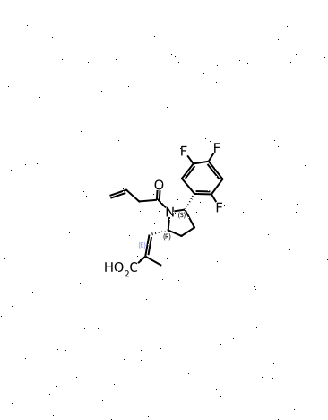 C=CCC(=O)N1[C@@H](/C=C(\C)C(=O)O)CC[C@H]1c1cc(F)c(F)cc1F